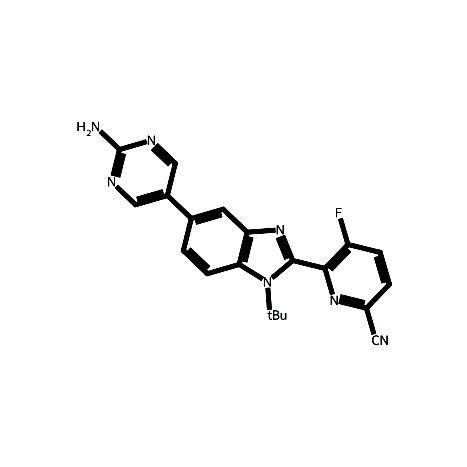 CC(C)(C)n1c(-c2nc(C#N)ccc2F)nc2cc(-c3cnc(N)nc3)ccc21